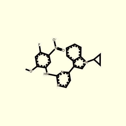 COc1cc(F)c([N+](=O)[O-])cc1Nc1nccc(-c2cn(C3CC3)c3ccccc23)n1